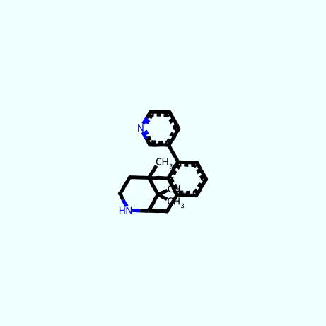 CC12CCNC(Cc3cccc(-c4cccnc4)c31)C2(C)C